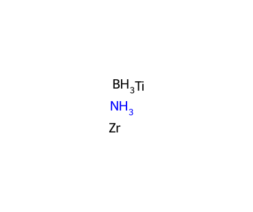 B.N.[Ti].[Zr]